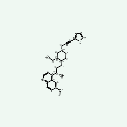 COc1ccc2nccc([C@@H](O)CC[C@@H]3CCN(CC#Cc4nccs4)C[C@@H]3CO)c2c1